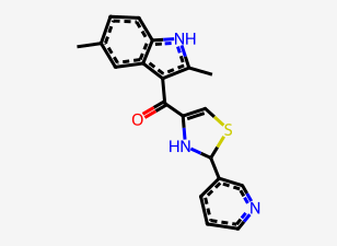 Cc1ccc2[nH]c(C)c(C(=O)C3=CSC(c4cccnc4)N3)c2c1